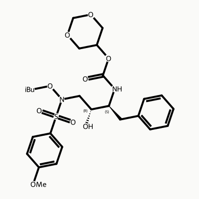 CCC(C)ON(C[C@@H](O)[C@H](Cc1ccccc1)NC(=O)OC1COCOC1)S(=O)(=O)c1ccc(OC)cc1